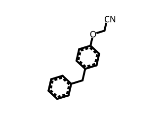 N#CCOc1ccc(Cc2ccccc2)cc1